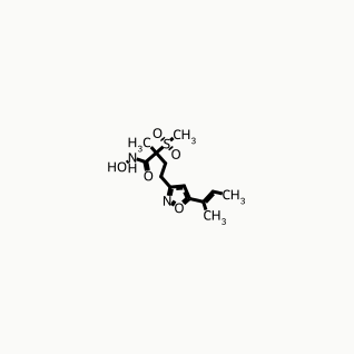 CC=C(C)c1cc(CCC(C)(C(=O)NO)S(C)(=O)=O)no1